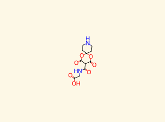 O=C(O)CNC(=O)C1C(=O)OC2(CCNCC2)OC1=O